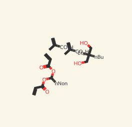 C=C(C)C(=O)O.C=C(C)C(=O)O.C=CC(=O)OC(CCCCCCCCC)OC(=O)C=C.CCCCC(CC)(CO)CO